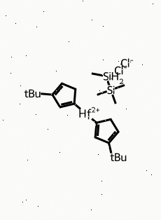 CC(C)(C)C1=CC[C]([Hf+2][C]2=CC(C(C)(C)C)=CC2)=C1.C[SiH2][Si](C)(C)C.[Cl-].[Cl-]